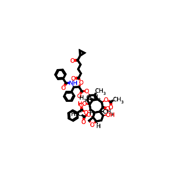 CC(=O)O[C@H]1C(=O)[C@@]2(C)[C@H]([C@H](OC(=O)c3ccccc3)[C@]3(O)C[C@H](OC(=O)C(OC(=O)CCCC(=O)C4CC4)[C@@H](NC(=O)c4ccccc4)c4ccccc4)C(C)=C1C3(C)C)[C@]1(OC(C)=O)CO[C@@H]1C[C@@H]2O